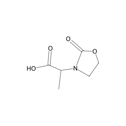 CC(C(=O)O)N1CCOC1=O